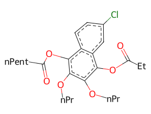 CCCCCC(=O)Oc1c(OCCC)c(OCCC)c(OC(=O)CC)c2cc(Cl)ccc12